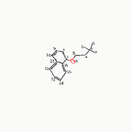 CC(C)(C)CCOc1cccc2ccccc12